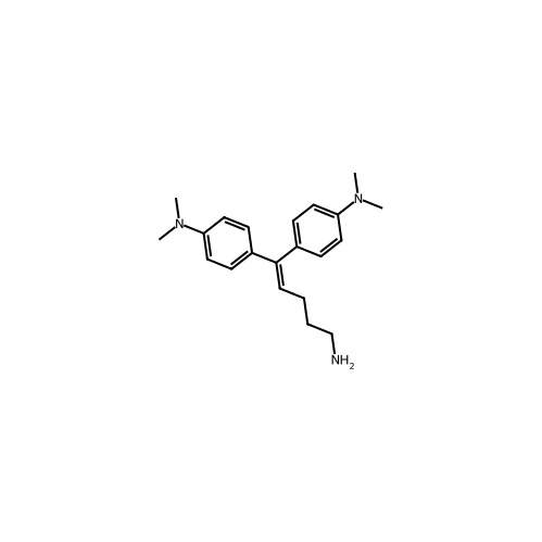 CN(C)c1ccc(C(=CCCCN)c2ccc(N(C)C)cc2)cc1